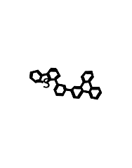 c1cc(-c2cccc(-c3ccc4c5ccccc5c5ccccc5c4c3)c2)c2sc3ccccc3c2c#1